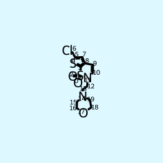 O=S1(=O)c2sc(Cl)cc2C=CN1CCN1CCOCC1